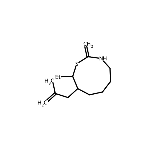 C=C(C)CC1CCCCNC(=C)SC1CC